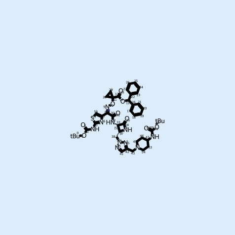 CC(C)(C)OC(=O)Nc1nc(/C(=N/OC2(C(=O)OC(c3ccccc3)c3ccccc3)CC2)C(=O)N[C@@H]2C(=O)N[C@@H]2Cn2ncc(CN3CCC(NC(=O)OC(C)(C)C)CC3)n2)cs1